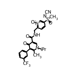 Cc1c(-c2cccc(C(F)(F)F)c2)c(=O)c(C(=O)NCc2ccc(S(C)(=O)=NC#N)c[n+]2[O-])cn1C(C)C